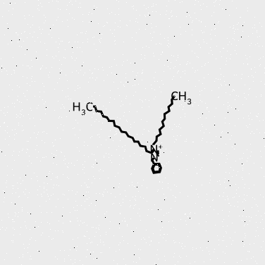 CCCCCCCCCCCCCCCCCCCc1n(Cc2ccccc2)cc[n+]1CCCCCCCCCCCCCC